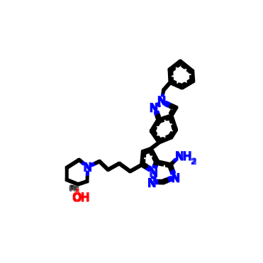 Nc1ncnn2c(CCCCN3CCC[C@@H](O)C3)cc(-c3ccc4cn(Cc5ccccc5)nc4c3)c12